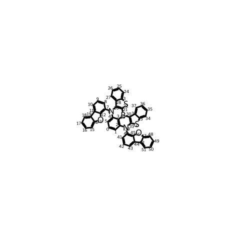 c1cc2c3c(c1)N(c1cccc4c1oc1ccccc14)c1c(sc4ccccc14)B3c1c(sc3ccccc13)N2c1cccc2c1oc1ccccc12